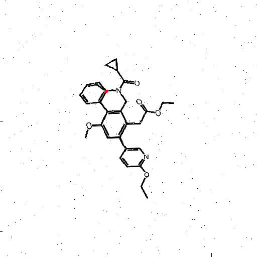 CCOC(=O)Cc1c(-c2ccc(OCC)nc2)cc(OC)c(-c2ccccc2)c1CN(CC)C(=O)C1CC1